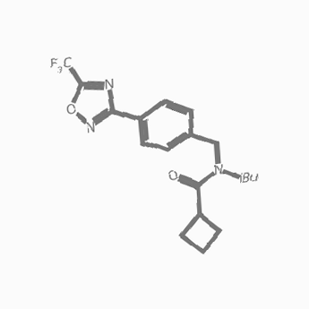 CCC(C)N(Cc1ccc(-c2noc(C(F)(F)F)n2)cc1)C(=O)C1CCC1